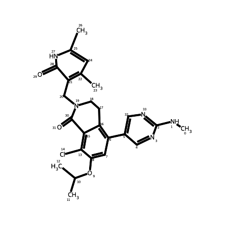 CNc1ncc(-c2cc(OC(C)C)c(Cl)c3c2CCN(Cc2c(C)cc(C)[nH]c2=O)C3=O)cn1